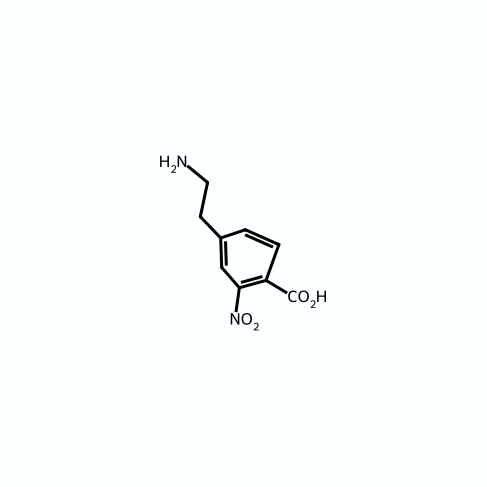 NCCc1ccc(C(=O)O)c([N+](=O)[O-])c1